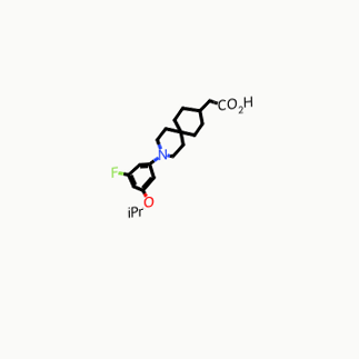 CC(C)Oc1cc(F)cc(N2CCC3(CCC(CC(=O)O)CC3)CC2)c1